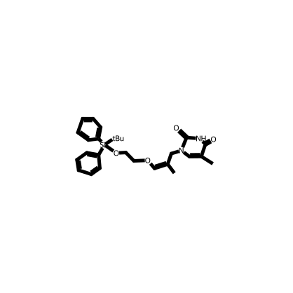 CC(=COCCO[Si](c1ccccc1)(c1ccccc1)C(C)(C)C)Cn1cc(C)c(=O)[nH]c1=O